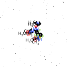 CC1(C)CN2CCCC2(COc2nc(N3CCN(C(=O)OC(C)(C)C)CC3)c3cc(C(F)(F)F)c(-c4ccc(F)c5sc(NC(=O)OC(C)(C)C)nc45)c(F)c3n2)C1